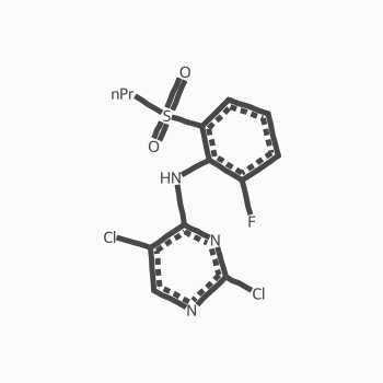 CCCS(=O)(=O)c1cccc(F)c1Nc1nc(Cl)ncc1Cl